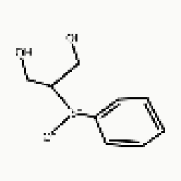 [O-][S+](c1ccccc1)C(CO)CO